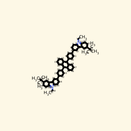 CCn1c2ccc(-c3ccc(-c4c5ccccc5c(-c5ccc(-c6ccc7c(c6)c6cc(C(C)(C)C)ccc6n7CC)cc5)c5ccccc45)cc3)cc2c2cc(C(C)(C)C)ccc21